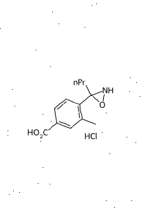 CCCC1(c2ccc(C(=O)O)cc2C)NO1.Cl